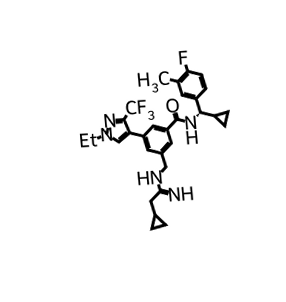 CCn1cc(-c2cc(CNC(=N)CC3CC3)cc(C(=O)N[C@H](c3ccc(F)c(C)c3)C3CC3)c2)c(C(F)(F)F)n1